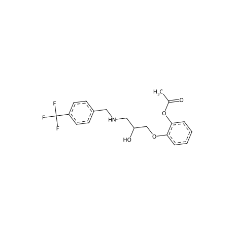 CC(=O)Oc1ccccc1OCC(O)CNCc1ccc(C(F)(F)F)cc1